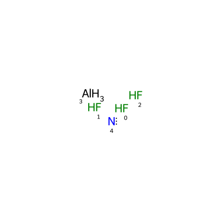 F.F.F.[AlH3].[N]